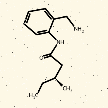 CC[C@H](C)CC(=O)Nc1ccccc1CN